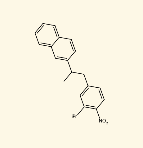 CC(C)c1cc(CC(C)c2ccc3ccccc3c2)ccc1[N+](=O)[O-]